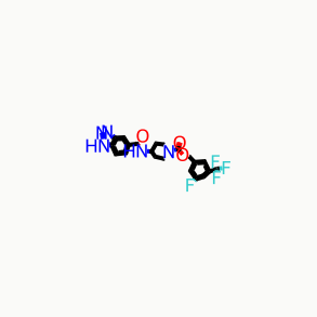 O=C(NC1CCN(C(=O)OCc2cc(F)cc(C(F)(F)F)c2)CC1)c1ccc2[nH]nnc2c1